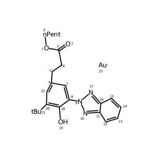 CCCCCOC(=O)CCc1cc(-n2nc3ccccc3n2)c(O)c(C(C)(C)C)c1.[Au]